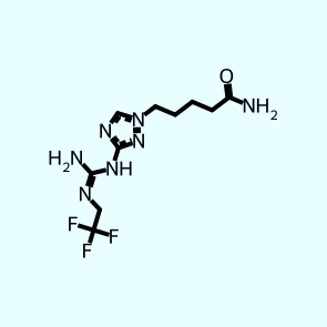 NC(=O)CCCCn1cnc(N/C(N)=N\CC(F)(F)F)n1